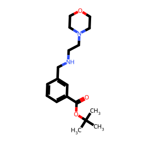 CC(C)(C)OC(=O)c1cccc(CNCCN2CCOCC2)c1